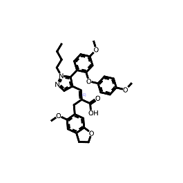 CCCCn1ncc(/C=C(\Cc2cc3c(cc2OC)CCO3)C(=O)O)c1-c1ccc(OC)cc1Oc1ccc(OC)cc1